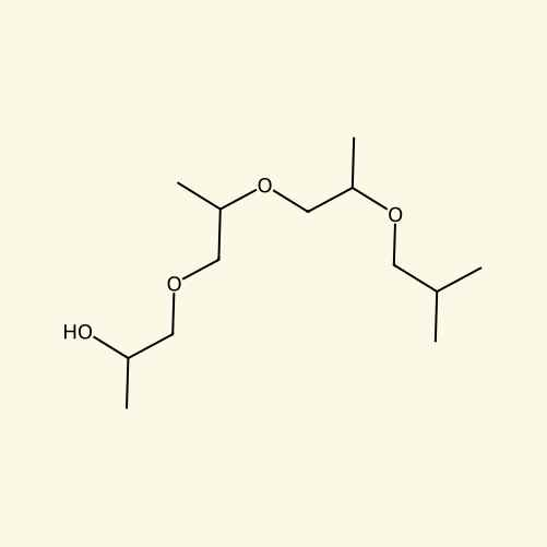 CC(C)COC(C)COC(C)COCC(C)O